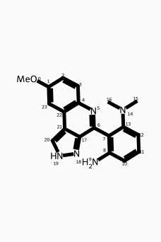 COc1ccc2nc(-c3c(N)cccc3N(C)C)c3n[nH]cc3c2c1